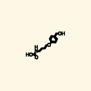 O=C(O)NCCCCOc1ccc(CO)cc1